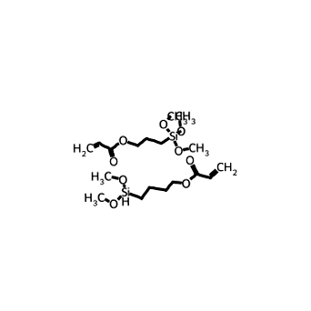 C=CC(=O)OCCCC[SiH](OC)OC.C=CC(=O)OCCC[Si](OC)(OC)OC